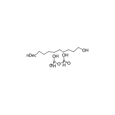 CCCCCCCCCCCCCCCCCCCO.O=[PH](O)O[PH](=O)O